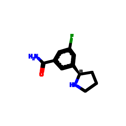 NC(=O)c1cc(F)cc([C@H]2CCCN2)c1